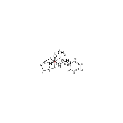 CC(C)C1CC2CCC(C1)N2C(=O)OCc1ccccc1